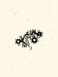 CC(CNc1sc2c(c1C(N)=O)CCC2)Sc1nnc(-c2ccco2)n1-c1ccccc1